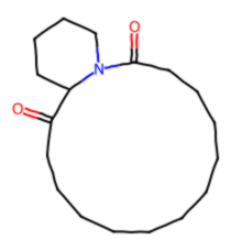 O=C1CCCCCCCCCCCC(=O)N2CCCCC12